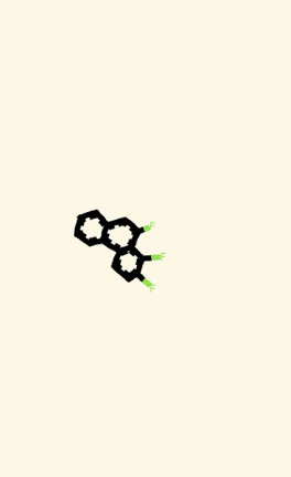 Fc1[c]cc2c(c(F)cc3c[c]ccc32)c1F